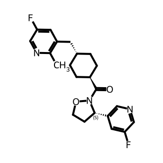 Cc1ncc(F)cc1C[C@H]1CC[C@H](C(=O)N2OCC[C@H]2c2cncc(F)c2)CC1